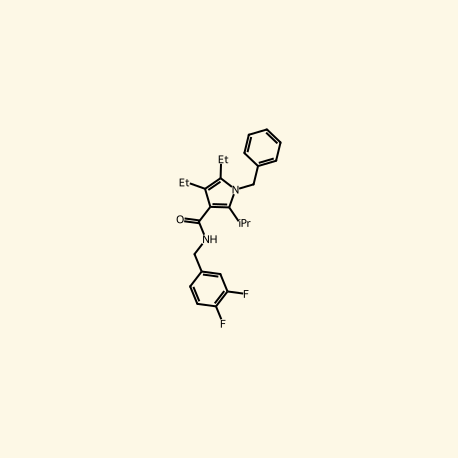 CCc1c(C(=O)NCc2ccc(F)c(F)c2)c(C(C)C)n(Cc2ccccc2)c1CC